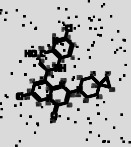 C[C@@H](Nc1ccc(Cl)nc1C(=O)O)c1cc(Cl)cn2c(=O)cc(N3CCC4(CC3)CC4)nc12